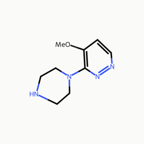 COc1ccnnc1N1CCNCC1